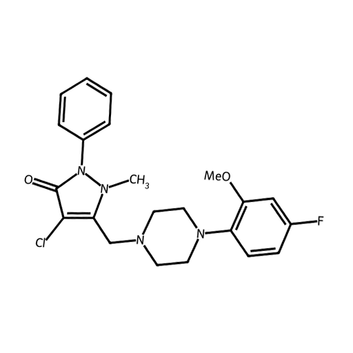 COc1cc(F)ccc1N1CCN(Cc2c(Cl)c(=O)n(-c3ccccc3)n2C)CC1